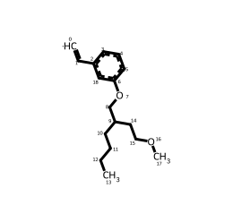 [CH]=Cc1cc[c]c(OCC(CCCC)CCOC)c1